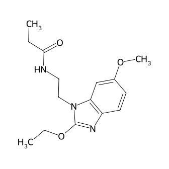 CCOc1nc2ccc(OC)cc2n1CCNC(=O)CC